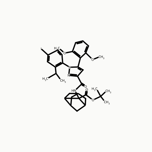 COc1cccc(OC)c1-c1cc(C(=O)NC2(C(=O)OC(C)(C)C)C3CC4CC(C3)C2C4)nn1-c1ccc(I)cc1C(C)C